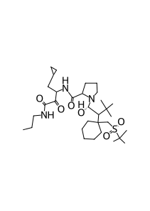 CCCNC(=O)C(=O)C(CC1CC1)NC(=O)C1CCCN1[C@@H](O)C(C(C)(C)C)C1(CS(=O)(=O)C(C)(C)C)CCCCC1